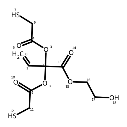 C=CC(OC(=O)CS)(OC(=O)CS)C(=O)OCCO